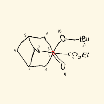 CCOC(=O)C1CC2CC(C1)N2C(=O)OC(C)(C)C